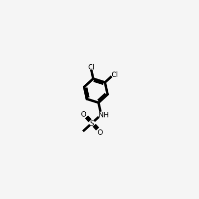 CS(=O)(=O)Nc1ccc(Cl)c(Cl)c1